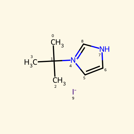 CC(C)(C)[n+]1cc[nH]c1.[I-]